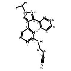 CC(C)n1cc(-c2ccnc(NCCC#N)n2)c(-c2cccnc2)n1